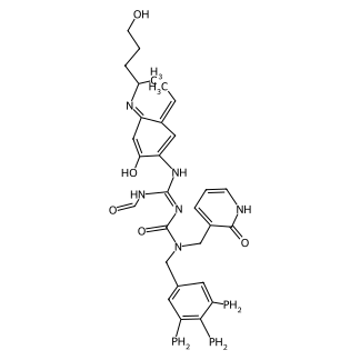 C/C=C1/C=C(N/C(=N/C(=O)N(Cc2cc(P)c(P)c(P)c2)Cc2ccc[nH]c2=O)NC=O)C(O)=C/C1=N/C(C)CCCO